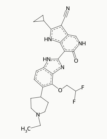 CCN1CCC(c2ccc3[nH]c(-c4c(=O)[nH]cc5c(C#N)c(C6CC6)[nH]c45)nc3c2OCC(F)F)CC1